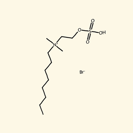 CCCCCCCC[N+](C)(C)CCOS(=O)(=O)O.[Br-]